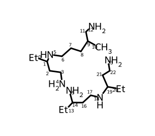 CCC(CCN)NCCCC(C)CN.CCC(N)CCNC(CC)CCN